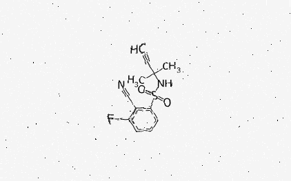 C#CC(C)(C)NS(=O)(=O)c1cccc(F)c1C#N